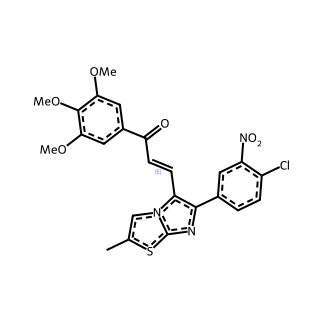 COc1cc(C(=O)/C=C/c2c(-c3ccc(Cl)c([N+](=O)[O-])c3)nc3sc(C)cn23)cc(OC)c1OC